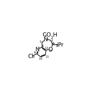 CC(C)[C@@H]1CN(C(=O)O)Cc2nc(Cl)ccc2O1